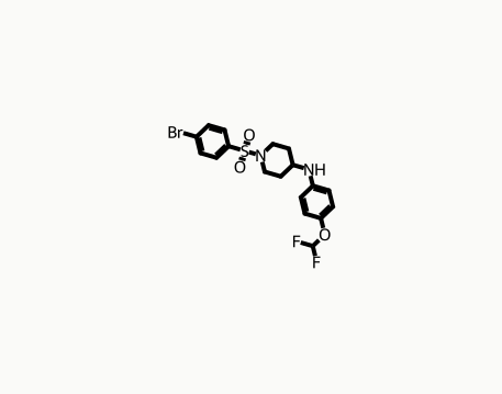 O=S(=O)(c1ccc(Br)cc1)N1CCC(Nc2ccc(OC(F)F)cc2)CC1